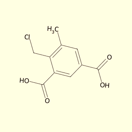 Cc1cc(C(=O)O)cc(C(=O)O)c1CCl